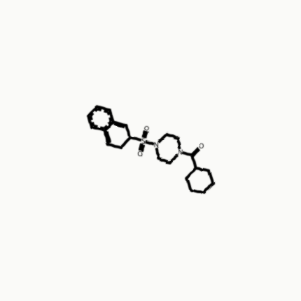 O=C(C1CCCCC1)N1CCN(S(=O)(=O)C2C=c3ccccc3=CC2)CC1